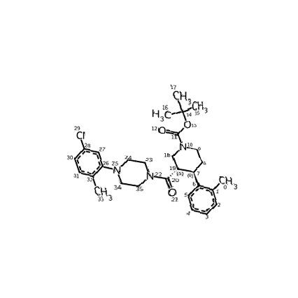 Cc1ccccc1[C@@H]1CCN(C(=O)OC(C)(C)C)C[C@H]1C(=O)N1CCN(c2cc(Cl)ccc2C)CC1